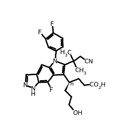 CC(C)(CC#N)c1c([C@H](CCCO)CCC(=O)O)c2c(F)c3[nH]ncc3cc2n1-c1ccc(F)c(F)c1